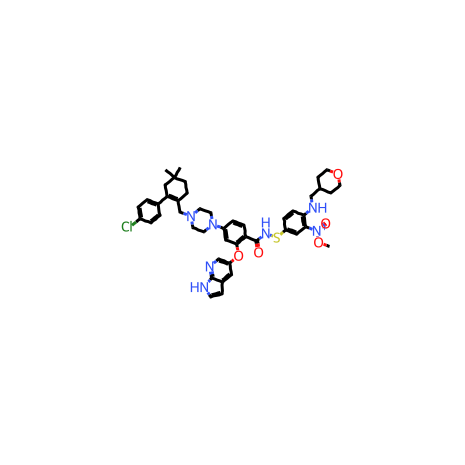 CO[N+](=O)c1cc(SNC(=O)c2ccc(N3CCN(CC4=C(c5ccc(Cl)cc5)CC(C)(C)CC4)CC3)cc2Oc2cnc3[nH]ccc3c2)ccc1NCC1CCOCC1